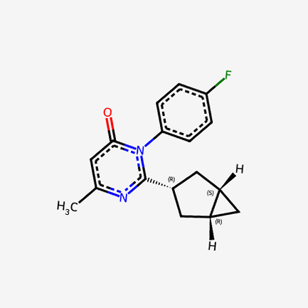 Cc1cc(=O)n(-c2ccc(F)cc2)c([C@@H]2C[C@@H]3C[C@@H]3C2)n1